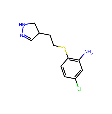 Nc1cc(Cl)ccc1SCCC1C=NNC1